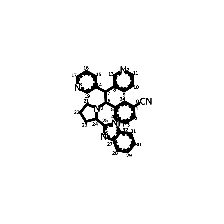 N#Cc1cccc(C(C(c2cccnc2)c2cccnc2)N2CCCC2c2nc3ccccc3[nH]2)c1